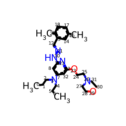 CCCN(CCC)c1cc(N/N=C/c2cc(C)ccc2C)nc(OCCN2CCOCC2)c1